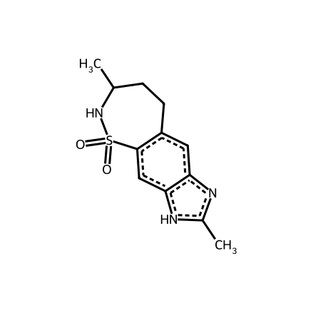 Cc1nc2cc3c(cc2[nH]1)S(=O)(=O)NC(C)CC3